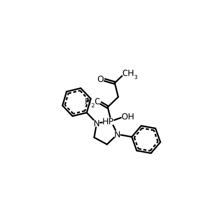 C=C(CC(C)=O)[PH]1(O)N(c2ccccc2)CCN1c1ccccc1